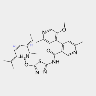 C/C=C(\C=C/C(COc1nnc(NC(=O)c2cnc(C)cc2-c2cc(C)ncc2OC)s1)=C(C)C)C(C)N